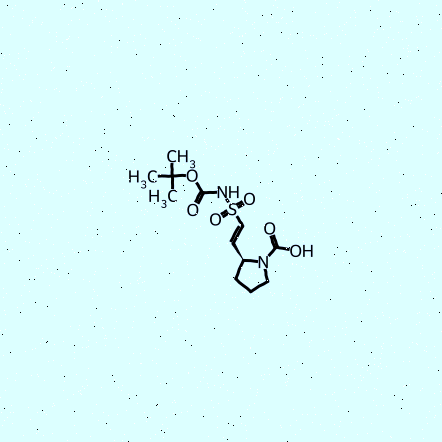 CC(C)(C)OC(=O)NS(=O)(=O)/C=C/[C@@H]1CCCN1C(=O)O